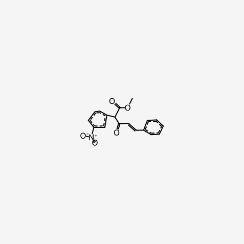 COC(=O)C(C(=O)C=Cc1ccccc1)c1cccc([N+](=O)[O-])c1